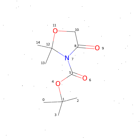 CC(C)(C)OC(=O)N1C(=O)COC1(C)C